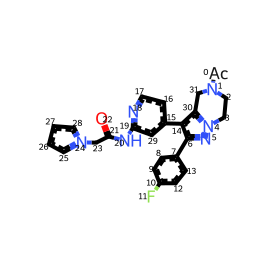 CC(=O)N1CCn2nc(-c3ccc(F)cc3)c(-c3ccnc(NC(=O)Cn4cccc4)c3)c2C1